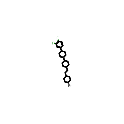 CCC1CCC(CCC2CCC(C3CCC(c4ccc(F)c(F)c4)CC3)CC2)CC1